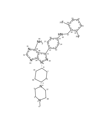 CN1CCN([C@H]2CC[C@@H](n3nc(-c4ccc(NCc5c(F)cccc5F)cc4)c4c(N)ncnc43)CC2)CC1